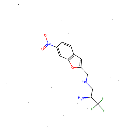 N[C@@H](CNCc1cc2ccc([N+](=O)[O-])cc2o1)C(F)(F)F